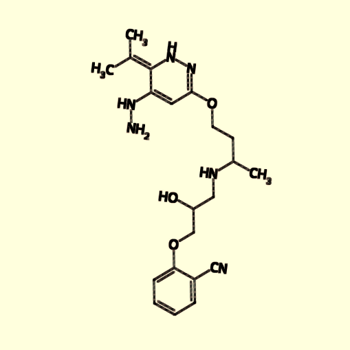 CC(C)=C1NN=C(OCCC(C)NCC(O)COc2ccccc2C#N)C=C1NN